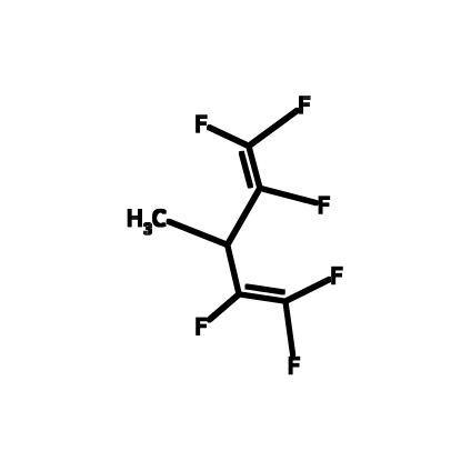 CC(C(F)=C(F)F)C(F)=C(F)F